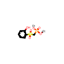 CCOP(=O)(CS(=O)(=O)c1ccccc1O)OCC